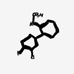 O=C(O)Nc1ccccc1-c1ccc(F)c(Cl)c1